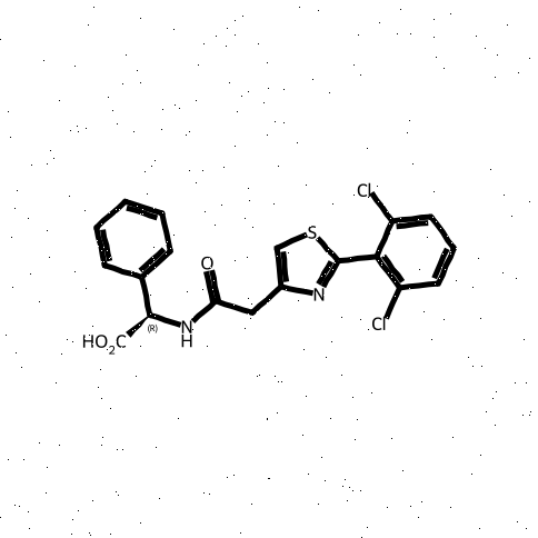 O=C(Cc1csc(-c2c(Cl)cccc2Cl)n1)N[C@@H](C(=O)O)c1ccccc1